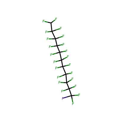 FC(F)C(F)(F)C(F)(F)C(F)(F)C(F)(F)C(F)(F)C(F)(F)C(F)(F)C(F)(F)C(F)(F)C(F)(F)I